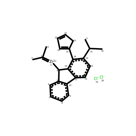 C[C](C)=[Zr+2][CH]1c2ccccc2-c2ccc(C(C)C)c(C3=CC=CC3)c21.[Cl-].[Cl-]